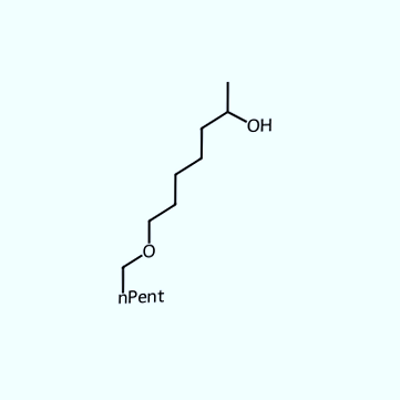 CCCCCCOCCCCCC(C)O